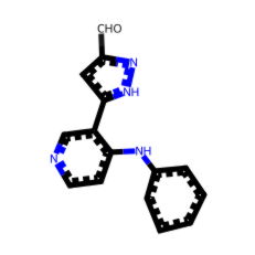 O=Cc1cc(-c2cnccc2Nc2ccccc2)[nH]n1